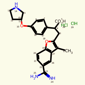 Cc1c(CC(C(=O)O)c2ccc(O[C@H]3CCNC3)cc2)oc2ccc(C(=N)N)cc12.Cl.Cl